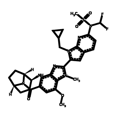 COc1cc(C(=O)N2[C@H]3CC[C@H](N)[C@@H]2CC3)cc2nc(-c3cc4ccc(N(C(F)F)S(C)(=O)=O)nc4n3CC3CC3)n(C)c12